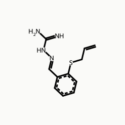 C=CCSc1ccccc1C=NNC(=N)N